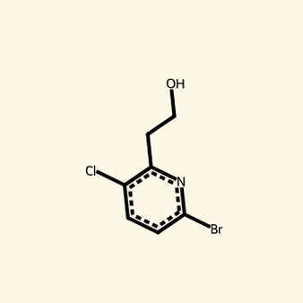 OCCc1nc(Br)ccc1Cl